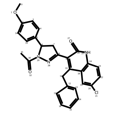 COc1ccc(C2CC(c3c(Cc4ccccc4)c4cc(Cl)ccc4[nH]c3=O)=NN2C(C)=O)cc1